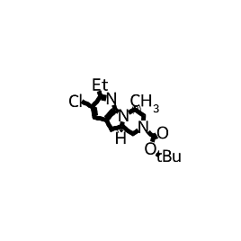 CCc1nc2c(cc1Cl)C[C@@H]1CN(C(=O)OC(C)(C)C)C[C@@H](C)N21